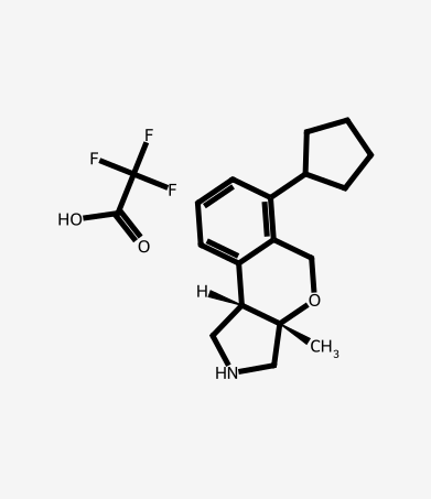 C[C@@]12CNC[C@@H]1c1cccc(C3CCCC3)c1CO2.O=C(O)C(F)(F)F